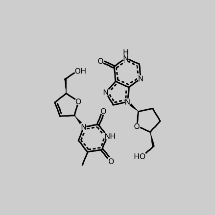 Cc1cn([C@H]2C=C[C@@H](CO)O2)c(=O)[nH]c1=O.O=c1[nH]cnc2c1ncn2[C@H]1CC[C@@H](CO)O1